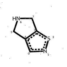 c1nsc2c1CNC2